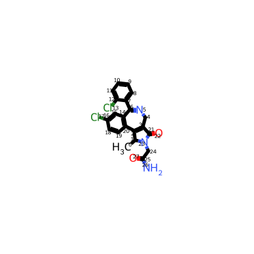 CC1C2=C(CN=C(c3ccccc3Cl)c3cc(Cl)ccc32)C(=O)N1CC(N)=O